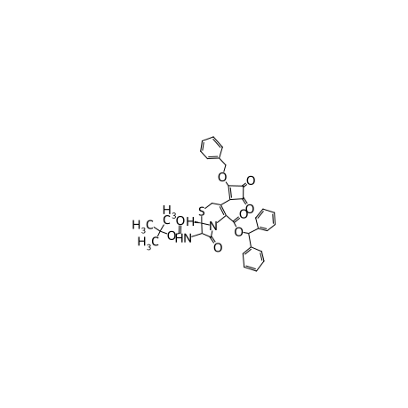 CC(C)(C)OC(=O)NC1C(=O)N2C(C(=O)OC(c3ccccc3)c3ccccc3)=C(c3c(OCc4ccccc4)c(=O)c3=O)CS[C@@H]12